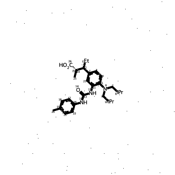 CCC(c1ccc(N(CC(C)C)CC(C)C)c(NC(=O)Nc2ccc(C)cc2)c1)[C@H](C)C(=O)O